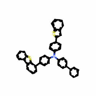 c1ccc(-c2ccc(N(c3ccc(-c4cc5ccccc5s4)cc3)c3ccc(-c4cccc5c4sc4ccccc45)cc3)cc2)cc1